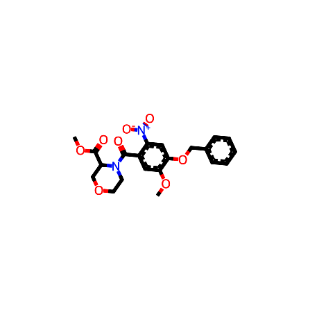 COC(=O)C1COCCN1C(=O)c1cc(OC)c(OCc2ccccc2)cc1[N+](=O)[O-]